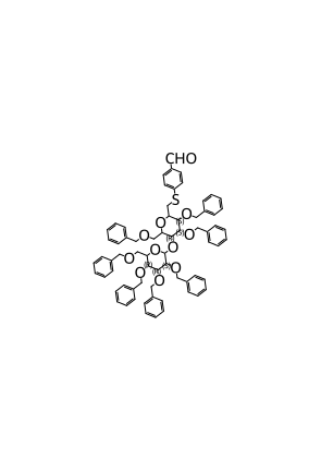 O=Cc1ccc(SCC2OC(COCc3ccccc3)[C@@H](OC3OC(COCc4ccccc4)[C@@H](OCc4ccccc4)[C@@H](OCc4ccccc4)[C@@H]3OCc3ccccc3)[C@@H](OCc3ccccc3)[C@@H]2OCc2ccccc2)cc1